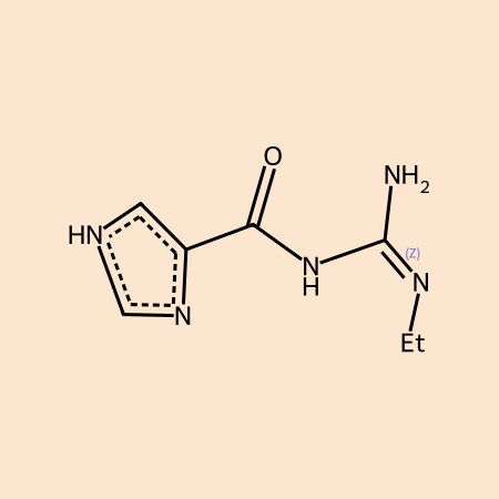 CC/N=C(/N)NC(=O)c1c[nH]cn1